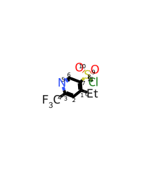 CCc1cc(C(F)(F)F)ncc1S(=O)(=O)Cl